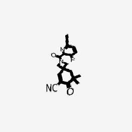 Cc1ccc(F)c(C(=O)N2CC3(C=C(C#N)C(=O)C(C)(C)C3)C2)n1